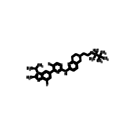 Cc1nc2c(F)cc(-c3nc(Nc4ccc5c(n4)CCN(CCO[Si](C)(C)C(C)(C)C)C5)ncc3F)cc2n1C(C)C